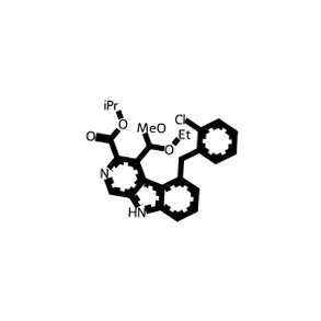 CCOC(OC)c1c(C(=O)OC(C)C)ncc2[nH]c3cccc(Cc4ccccc4Cl)c3c12